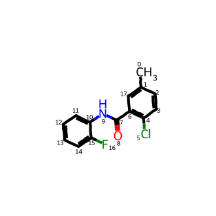 Cc1ccc(Cl)c(C(=O)Nc2ccccc2F)c1